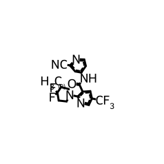 C[C@@H]1CN(c2ncc(C(F)(F)F)cc2C(=O)Nc2ccnc(C#N)c2)CCC1(F)F